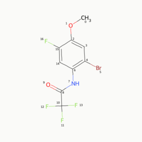 COc1cc(Br)c(NC(=O)C(F)(F)F)cc1F